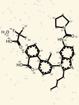 CCCCc1nc2ccc(NC(=O)N3CCCC3)cc2n1-c1cccc(-c2ccccc2C(=O)O)c1C.O.O=C(O)C(F)(F)F